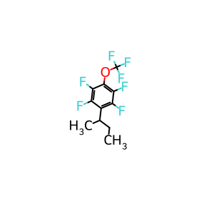 CCC(C)c1c(F)c(F)c(OC(F)(F)F)c(F)c1F